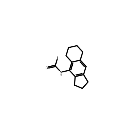 O=C(I)Nc1c2c(cc3c1CCC3)CCCC2